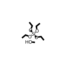 CCO[Si](OCC)(OCC)OCC.CO